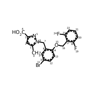 Cc1cc(C(=O)O)nn1Cc1cc(Br)ccc1OCc1c(F)cccc1F